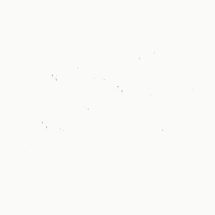 CCSc1ccc(C(CO)NC(=O)c2cnc3c(c2)CN(C)C3CC)cc1